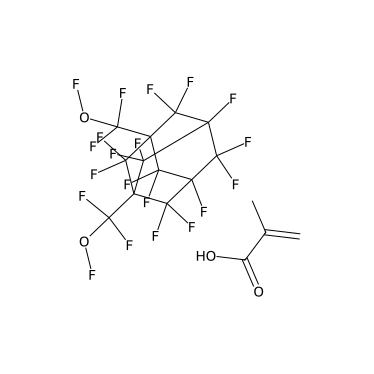 C=C(C)C(=O)O.FOC(F)(F)C12C(F)(F)C3(F)C(F)(F)C(F)(C1(F)F)C(F)(F)C(C(F)(F)OF)(C3(F)F)C2(F)F